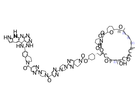 CO[C@H]1CC2CCCC(O2)C(=O)C(=O)N2CCCC[C@H]2C(=O)O[C@H](CC[C@H]2CC[C@H](OC(=O)N3CCc4nc(N5CCN(c6ncc(C(=O)N7CCN(c8ncc(C(=O)N9CCc%10cc(CNc%11ncnc(N)c%11C(=N)C%11=Cc%12cc[nH]c%12NC%11)ccc%10C9)cn8)CC7)cn6)CC5)ncc4C3)CC2)CC(=O)[C@H](C)/C=C(\C)[C@@H](O)CC(=O)[C@H](C)C[C@H](C)/C=C/C=C/C=C/1C